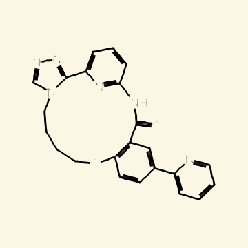 O=C1Nc2cccc(n2)-c2nncn2CCCCOc2ccc(-c3ccccn3)cc21